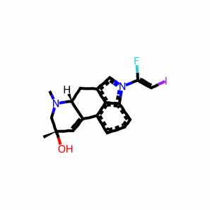 CN1C[C@@](C)(O)C=C2c3cccc4c3c(cn4C(F)=CI)C[C@H]21